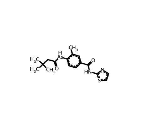 Cc1cc(C(=O)Nc2nccs2)ccc1[AsH]C(=O)CC(C)(C)C